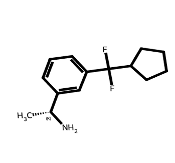 C[C@@H](N)c1cccc(C(F)(F)C2CCCC2)c1